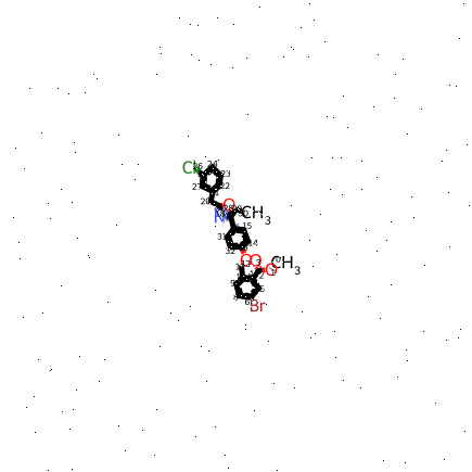 COC(=O)c1cc(Br)ccc1COc1ccc(-c2nc(Cc3cccc(Cl)c3)oc2C)cc1